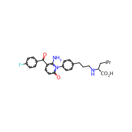 CC(C)C[C@H](NCCCc1ccc(-n2c(N)c(C(=O)c3ccc(F)cc3)ccc2=O)cc1)C(=O)O